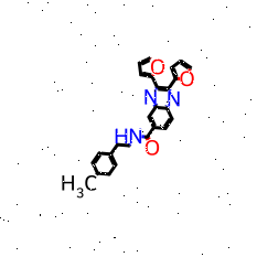 CC1C=CC(CCNC(=O)c2ccc3nc(-c4ccco4)c(-c4ccco4)nc3c2)=CC1